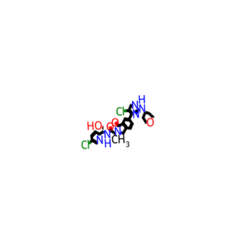 C[C@H](C(=O)N[C@@H](CO)c1ccc(Cl)cn1)N1Cc2ccc(-c3nc(NC4CCOCC4)ncc3Cl)cc2C1=O